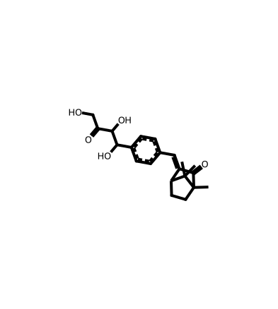 CC12CCC(/C(=C\c3ccc(C(O)C(O)C(=O)CO)cc3)C1=O)C2(C)C